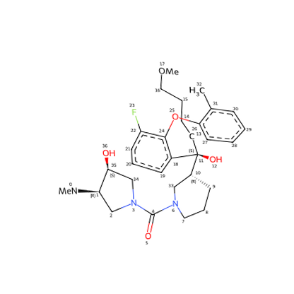 CN[C@@H]1CN(C(=O)N2CCC[C@@H]([C@@](O)(CCCCOC)c3cccc(F)c3Oc3ccccc3C)C2)C[C@@H]1O